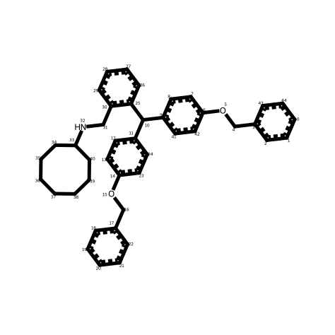 c1ccc(COc2ccc(C(c3ccc(OCc4ccccc4)cc3)c3ccccc3CNC3CCCCCCC3)cc2)cc1